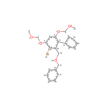 COCOc1cc(OCOC)c(-c2ccccc2)c(COCc2ccccc2)c1Br